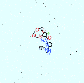 CC(C)n1cnnc1-c1cccc(NC(=O)c2cc3c(cc2F)OCCOCCOCCO3)n1